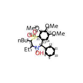 CCCCC1C(CC)N(O)C(c2ccccc2)c2cc(OC)c(OC)c(OC)c2S1(=O)=O